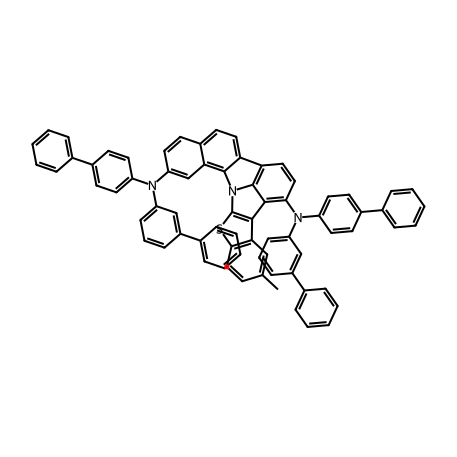 Cc1ccc2sc3c(c2c1)c1c(N(c2ccc(-c4ccccc4)cc2)c2cccc(-c4ccccc4)c2)ccc2c4ccc5ccc(N(c6ccc(-c7ccccc7)cc6)c6cccc(-c7ccccc7)c6)cc5c4n3c21